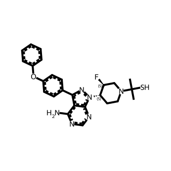 CC(C)(S)N1CC[C@H](n2nc(-c3ccc(Oc4ccccc4)cc3)c3c(N)ncnc32)[C@@H](F)C1